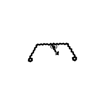 CN(C)CCCC(=O)OC(CCCCCCCC/C=C\CCCCCCCCc1ccccc1)CCCCCCCC/C=C\CCCCCCCCc1ccccc1